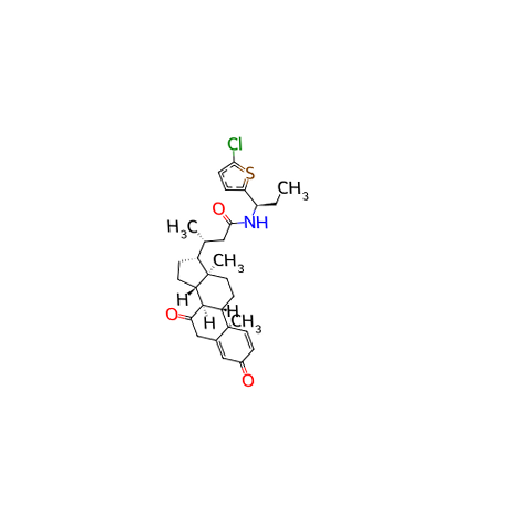 CC[C@@H](NC(=O)C[C@@H](C)[C@H]1CC[C@H]2[C@@H]3C(=O)CC4=CC(=O)C=C[C@]4(C)[C@H]3CC[C@]12C)c1ccc(Cl)s1